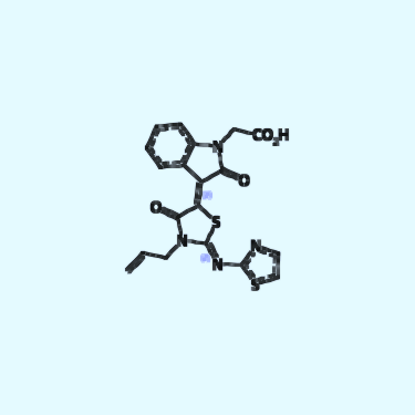 C=CCN1C(=O)/C(=C2/C(=O)N(CC(=O)O)c3ccccc32)S/C1=N\c1nccs1